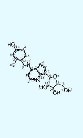 OC[C@H]1OC(n2cnc3c(NCc4ccc(O)cc4F)ncnc32)[C@H](O)[C@@H]1O